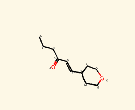 CCCC(=O)C=CC1CCOCC1